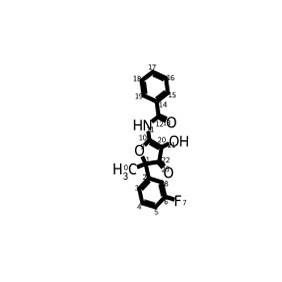 CC1(c2cccc(F)c2)OC(NC(=O)c2ccccc2)=C(O)C1=O